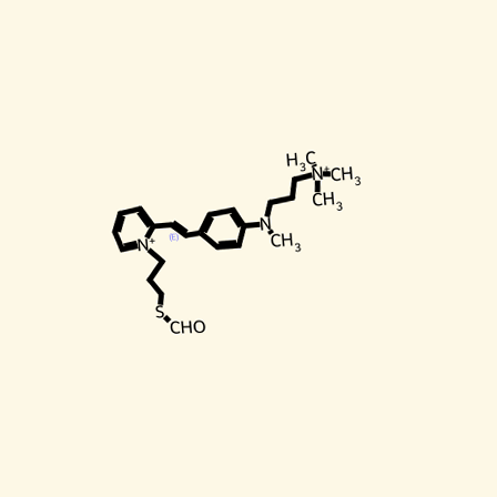 CN(CCC[N+](C)(C)C)c1ccc(/C=C/c2cccc[n+]2CCCSC=O)cc1